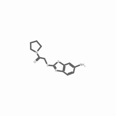 Nc1ccc2nc(SCC(=O)N3CCCC3)sc2c1